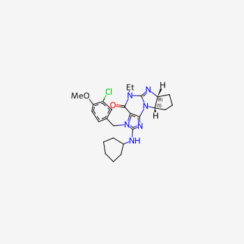 CCN1C(=O)c2c(nc(NC3CCCCC3)n2Cc2ccc(OC)c(Cl)c2)N2C1=N[C@@H]1CCC[C@@H]12